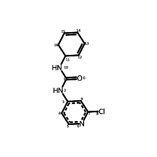 O=C(Nc1ccnc(Cl)c1)NC1C=CC=CC1